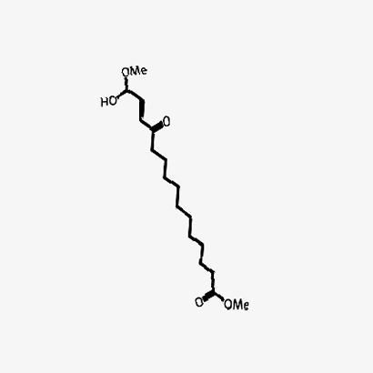 COC(=O)CCCCCCCCCCC(=O)C=CC(O)OC